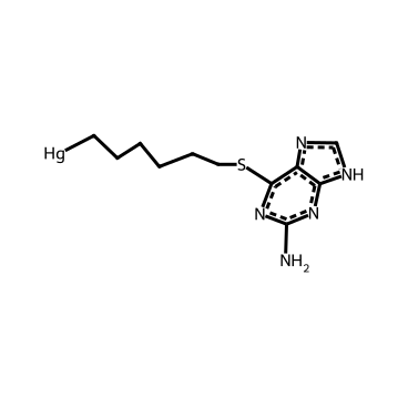 Nc1nc(SCCCCC[CH2][Hg])c2nc[nH]c2n1